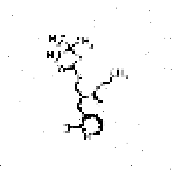 CCOC(=O)C(CNC(=O)OC(C)(C)C)Cc1cccnc1Cl